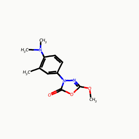 COc1nn(-c2ccc(N(C)C)c(C)c2)c(=O)o1